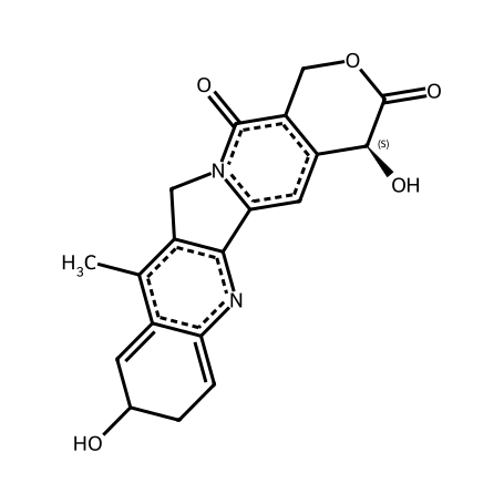 Cc1c2c(nc3c1=CC(O)CC=3)-c1cc3c(c(=O)n1C2)COC(=O)[C@H]3O